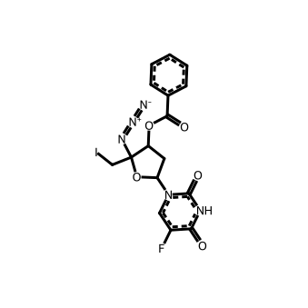 [N-]=[N+]=NC1(CI)OC(n2cc(F)c(=O)[nH]c2=O)CC1OC(=O)c1ccccc1